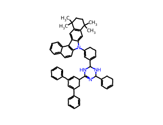 CC1(C)CCC(C)(C)c2cc3c(cc21)c1c2ccccc2ccc1n3C1=CC(C2NC(C3C=C(c4ccccc4)C=C(c4ccccc4)C3)=NC(C3=CC=CCC3)N2)=CCC1